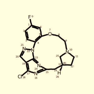 Fc1ccc2c(c1)OCCN1CC[C@H](Cc3nc(Cl)c4cnn-2c4n3)C1